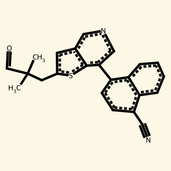 CC(C)(C=O)Cc1cc2cncc(-c3ccc(C#N)c4ccccc34)c2s1